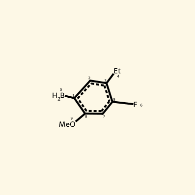 Bc1cc(CC)c(F)cc1OC